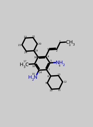 CCC=Cc1c(N)c(C2CCCCC2)c(N)c(C)c1C1CCCCC1